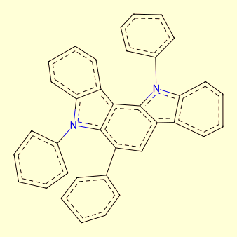 c1ccc(-c2cc3c4ccccc4n(-c4ccccc4)c3c3c4ccccc4n(-c4ccccc4)c23)cc1